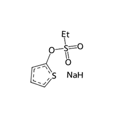 CCS(=O)(=O)Oc1cccs1.[NaH]